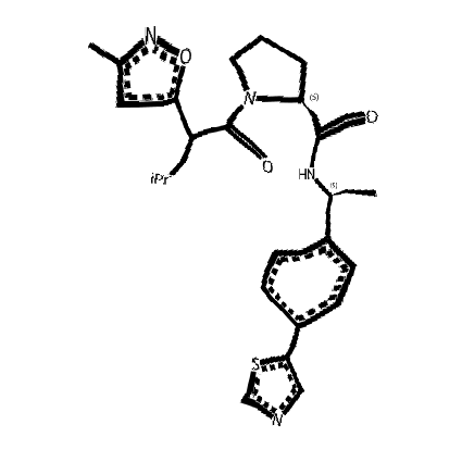 Cc1cc(C(C(=O)N2CCC[C@H]2C(=O)N[C@@H](C)c2ccc(-c3cncs3)cc2)C(C)C)on1